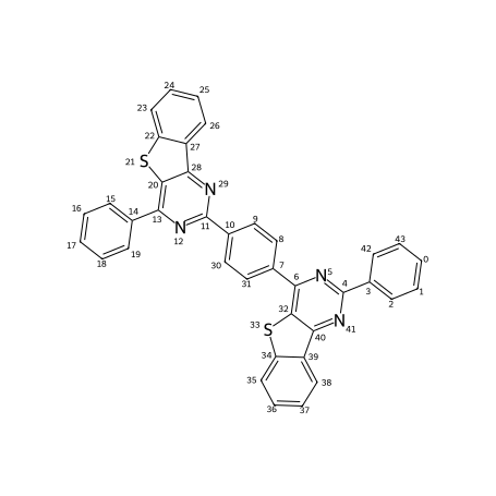 c1ccc(-c2nc(-c3ccc(-c4nc(-c5ccccc5)c5sc6ccccc6c5n4)cc3)c3sc4ccccc4c3n2)cc1